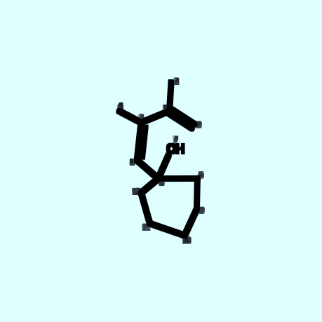 C=C(C)C(C)=CC1(O)CCCCC1